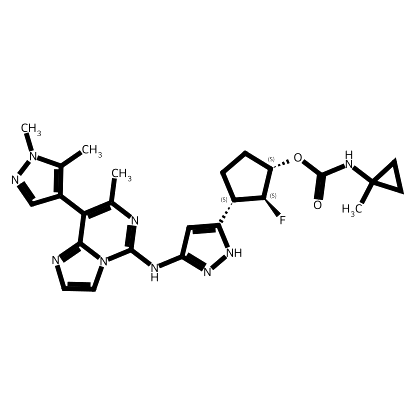 Cc1nc(Nc2cc([C@@H]3CC[C@H](OC(=O)NC4(C)CC4)[C@H]3F)[nH]n2)n2ccnc2c1-c1cnn(C)c1C